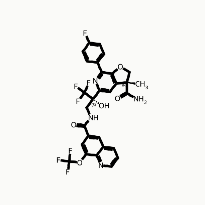 C[C@]1(C(N)=O)COc2c1cc([C@@](O)(CNC(=O)c1cc(OC(F)(F)F)c3ncccc3c1)C(F)(F)F)nc2-c1ccc(F)cc1